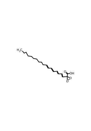 CCCCCCCCCCC=CC=CC=CC=CC1(C(=O)O)OO1